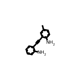 Cc1ccc(N)c(C#Cc2ccccc2N)c1